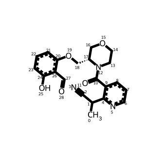 CC(C#N)c1ncccc1C(=O)N1CCOC[C@H]1COc1cccc(O)c1C=O